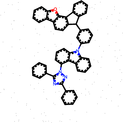 c1ccc(-c2nc(-c3ccccc3)n(-c3cccc4c3c3ccccc3n4-c3cccc(C4c5ccccc5-c5c4ccc4c5oc5ccccc54)c3)n2)cc1